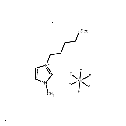 CCCCCCCCCCCCCC[n+]1ccn(C)c1.[F][Sb-]([F])([F])([F])([F])[F]